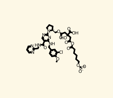 COc1ccc(CNc2nc(N3CCC[C@H]3COC(=O)CC(O)(CC(=O)OC(=O)CCCCCO[N+](=O)[O-])C(=O)O)ncc2C(=O)NCc2ncccn2)cc1Cl